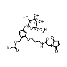 CCC(=O)OCc1ccc(O[C@@H]2O[C@H](C(=O)O)[C@@H](O)[C@H](O)[C@H]2O)cc1OCCCNC(=O)CN1C(=O)C=CC1=O